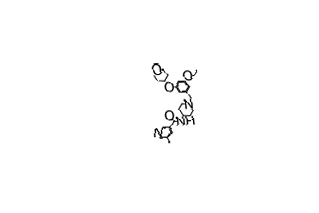 CCOc1cc(CN2CCC(NC(=O)c3cncc(C)c3)CC2)cc(OC2CCOCC2)c1